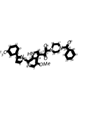 COc1cnc(-n2ccc(-c3cccc(C(F)(F)F)c3)n2)c2[nH]cc(C(=O)C(=O)N3CCN(C(=O)c4ccccc4)CC3)c12